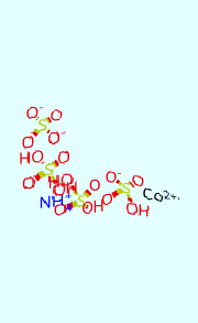 O=S(=O)(O)O.O=S(=O)(O)O.O=S(=O)([O-])O.O=S(=O)([O-])[O-].[Co+2].[NH4+]